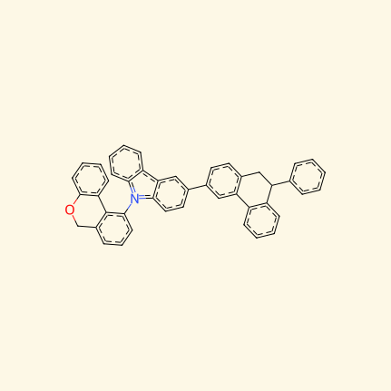 c1ccc(C2Cc3ccc(-c4ccc5c(c4)c4ccccc4n5-c4cccc5c4-c4ccccc4OC5)cc3-c3ccccc32)cc1